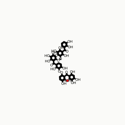 O=C(c1c(O)cc(O)c(O)c1O)c1c(OOc2c(O)ccc(C(=O)c3c(OOc4c(O)c(O)c(O)c(C(=O)c5cccc(O)c5O)c4O)cc(O)c(O)c3O)c2O)ccc(O)c1O